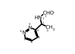 CC(N[C]=O)c1cccnn1